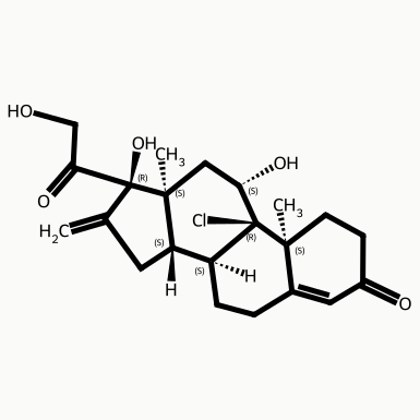 C=C1C[C@H]2[C@@H]3CCC4=CC(=O)CC[C@]4(C)[C@@]3(Cl)[C@@H](O)C[C@]2(C)[C@@]1(O)C(=O)CO